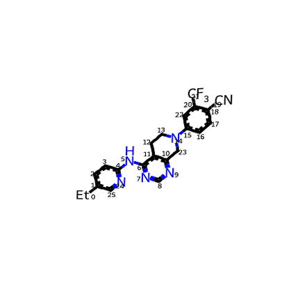 CCc1ccc(Nc2ncnc3c2CCN(c2ccc(C#N)c(C(F)(F)F)c2)C3)nc1